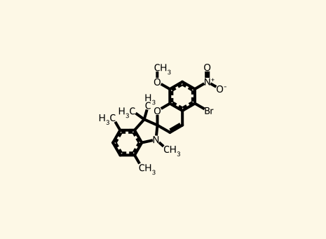 COc1cc([N+](=O)[O-])c(Br)c2c1OC1(C=C2)N(C)c2c(C)ccc(C)c2C1(C)C